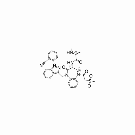 CN[C@@H](C)C(=O)N[C@@H]1C(=O)N(Cc2nn(-c3ccccc3C#N)c3ccccc23)c2ccccc2N(C(=O)CS(C)(=O)=O)[C@H]1C